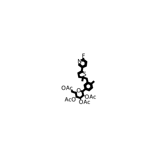 CC(=O)OCC1OC(c2ccc(C)c(CC3(C)CC=C(c4ccc(F)nc4)S3)c2)[C@H](OC(C)=O)[C@@H](OC(C)=O)[C@@H]1OC(C)=O